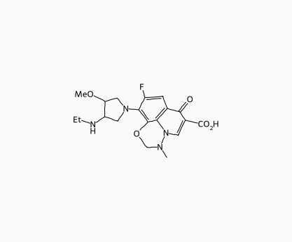 CCNC1CN(c2c(F)cc3c(=O)c(C(=O)O)cn4c3c2OCN4C)CC1OC